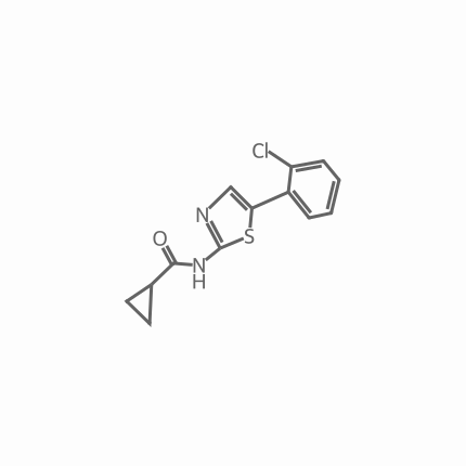 O=C(Nc1ncc(-c2ccccc2Cl)s1)C1CC1